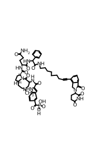 CN1CC[C@H]2CC[C@@H](C(=O)NC(CCC(N)=O)C(=O)NC(C(=O)NCCCCCCCC#Cc3cccc4c3CN(C3CCC(=O)NC3=O)C4=O)c3ccccc3)N2C(=O)[C@@H](NC(=O)c2cc3cc(C(=O)P(=O)(O)O)ccc3[nH]2)C1